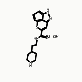 Cl.Cl.O=C(NCCC1CCNCC1)C1=Cc2n[nH]c3cccc(c23)S1